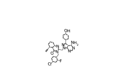 C#Cc1cccc2nc(Cn3nc(-c4ccc(O)cc4)c4c(N)ncnc43)n(Cc3ccc(Cl)cc3F)c(=O)c12